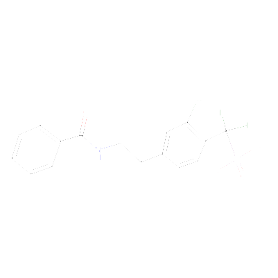 O=C(NCCc1ccc(C(F)(F)P(=O)(O)O)c(Br)c1)c1ccccc1